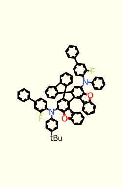 CC(C)(C)c1ccc(N(c2ccc(-c3ccccc3)cc2F)c2cc3c(c4c2oc2ccccc24)-c2c(cc(N(c4ccccc4)c4ccc(-c5ccccc5)cc4F)c4oc5ccccc5c24)C32c3ccccc3-c3ccccc32)cc1